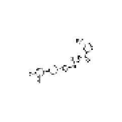 O=C(CNC(=O)c1cccc(C(F)(F)F)c1)NC1CN(C2CCC(c3ccc(=O)[nH]c3)CC2)C1